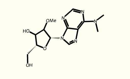 COC1C(O)[C@@H](CO)O[C@H]1n1cnc2c(N(C)C)ncnc21